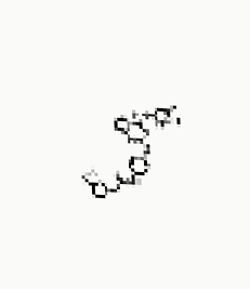 Cc1cc(Nc2nc(Sc3ccc(NC(=O)CN4CCC(SC(C)(C)C)C4)cc3)nc3cccn23)n[nH]1